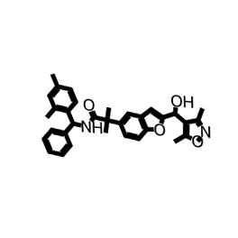 Cc1ccc(C(NC(=O)C(C)(C)c2ccc3oc(C(O)c4c(C)noc4C)cc3c2)c2ccccc2)c(C)c1